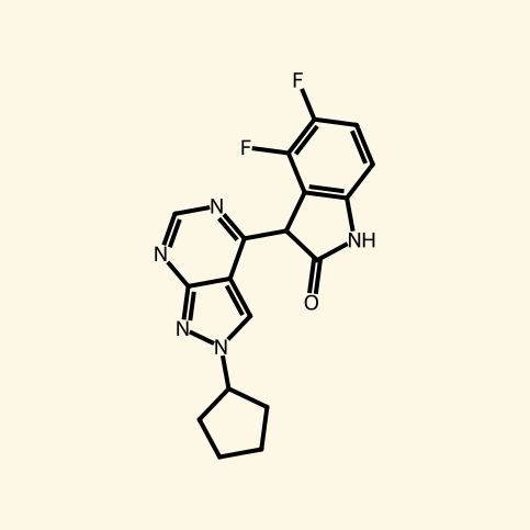 O=C1Nc2ccc(F)c(F)c2C1c1ncnc2nn(C3CCCC3)cc12